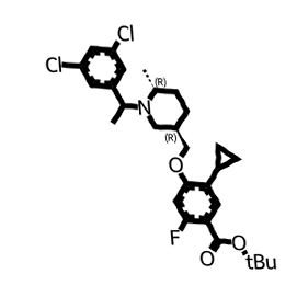 CC(c1cc(Cl)cc(Cl)c1)N1C[C@H](COc2cc(F)c(C(=O)OC(C)(C)C)cc2C2CC2)CC[C@H]1C